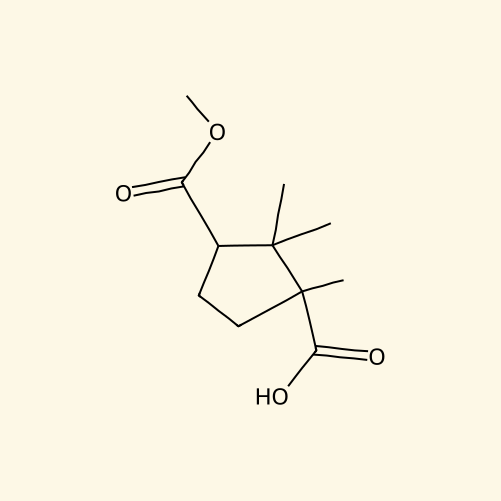 COC(=O)C1CCC(C)(C(=O)O)C1(C)C